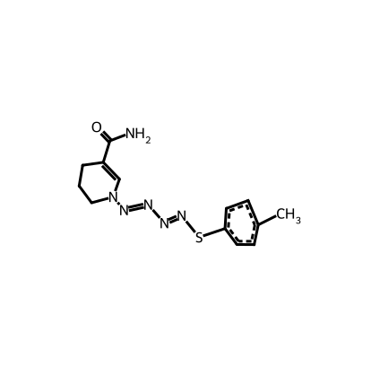 Cc1ccc(SN=NN=NN2C=C(C(N)=O)CCC2)cc1